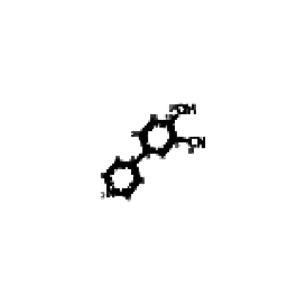 N#Cc1cc(-c2ccncc2)ccc1O